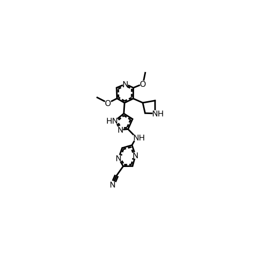 COc1cnc(OC)c(C2CNC2)c1-c1cc(Nc2cnc(C#N)cn2)n[nH]1